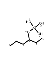 CCCC(CC)O[Si](O)(O)O